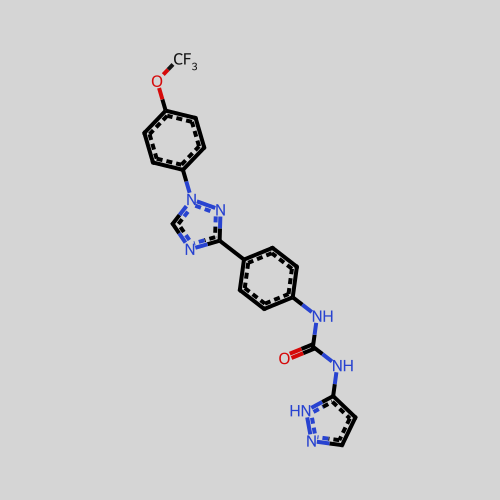 O=C(Nc1ccc(-c2ncn(-c3ccc(OC(F)(F)F)cc3)n2)cc1)Nc1ccn[nH]1